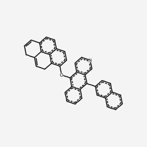 C1=Cc2ccc3ccc(Oc4c5ccccc5c(-c5ccc6ccccc6c5)c5cnccc45)c4c3c2C(=CC4)C1